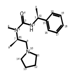 C[C@H](NC(=O)N(C)[C@H](C)CN1CCCC1)c1ccccc1